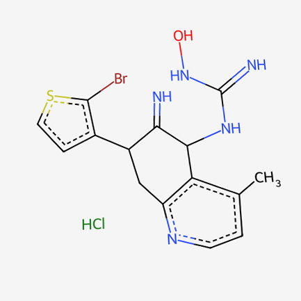 Cc1ccnc2c1C(NC(=N)NO)C(=N)C(c1ccsc1Br)C2.Cl